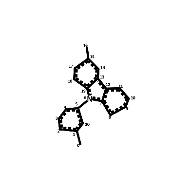 Cc1cccc(-n2c3ccccc3c3cc(C)ccc32)c1